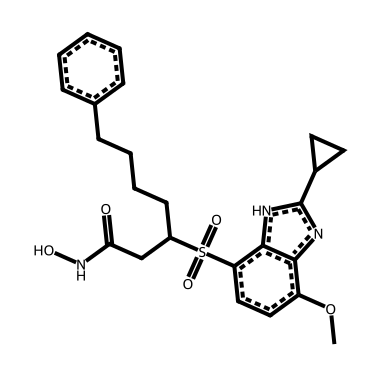 COc1ccc(S(=O)(=O)C(CCCCc2ccccc2)CC(=O)NO)c2[nH]c(C3CC3)nc12